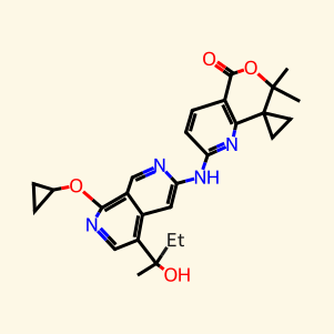 CCC(C)(O)c1cnc(OC2CC2)c2cnc(Nc3ccc4c(n3)C3(CC3)C(C)(C)OC4=O)cc12